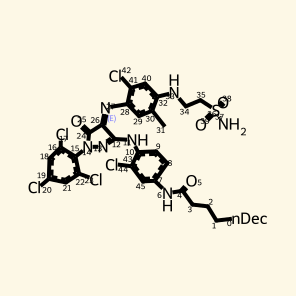 CCCCCCCCCCCCCC(=O)Nc1ccc(NC2=NN(c3c(Cl)cc(Cl)cc3Cl)C(=O)/C2=N/c2cc(C)c(NCCS(N)(=O)=O)cc2Cl)c(Cl)c1